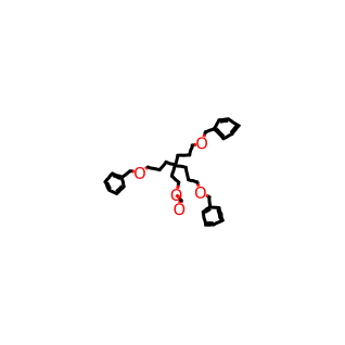 O=COCCC(CCCOCc1ccccc1)(CCCOCc1ccccc1)CCCOCc1ccccc1